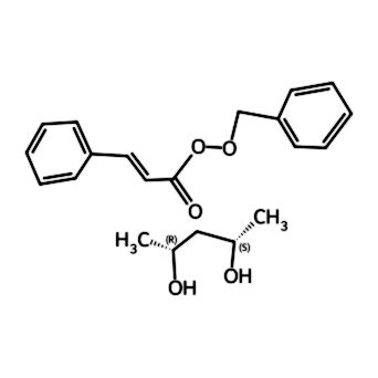 C[C@H](O)C[C@@H](C)O.O=C(C=Cc1ccccc1)OOCc1ccccc1